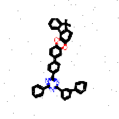 CC1(C)c2ccccc2-c2c1ccc1c2Oc2ccc(-c3ccc(-c4nc(-c5ccccc5)nc(-c5cccc(-c6ccccc6)c5)n4)cc3)cc2O1